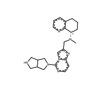 CN(Cc1cn2c(N3CC4CNCC4C3)nccc2n1)[C@H]1CCCc2cccnc21